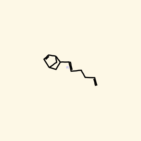 C=CCC/C=C/C1CC2C=CC1C2